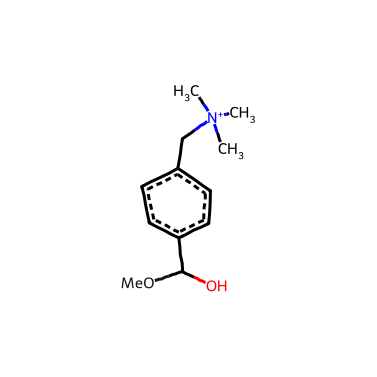 COC(O)c1ccc(C[N+](C)(C)C)cc1